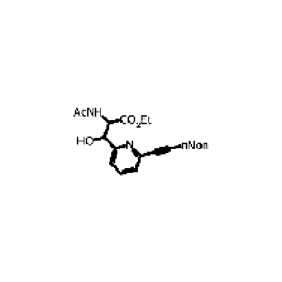 CCCCCCCCCC#Cc1cccc(C(O)C(NC(C)=O)C(=O)OCC)n1